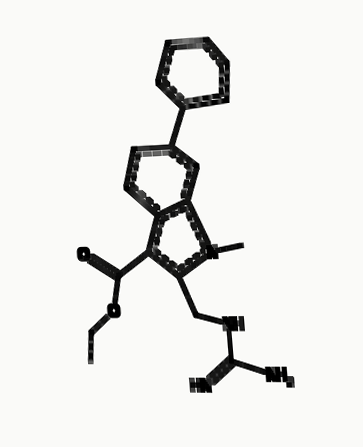 CCOC(=O)c1c(CNC(=N)N)n(C)c2cc(-c3ccccc3)ccc12